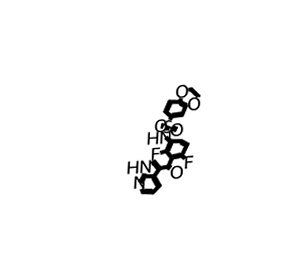 O=C(c1c(F)ccc(NS(=O)(=O)c2ccc3c(c2)OCCO3)c1F)c1c[nH]c2ncccc12